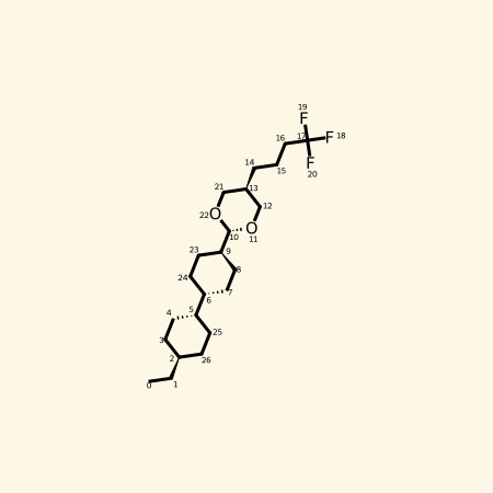 CC[C@H]1CC[C@H]([C@H]2CC[C@H]([C@H]3OC[C@H](CCCC(F)(F)F)CO3)CC2)CC1